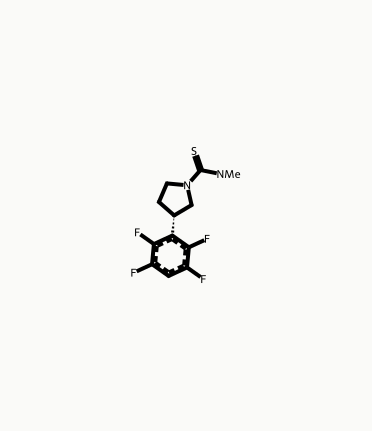 CNC(=S)N1CC[C@@H](c2c(F)c(F)cc(F)c2F)C1